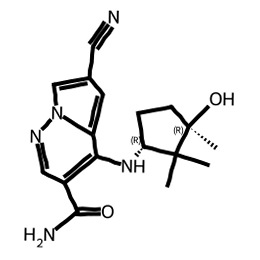 CC1(C)[C@H](Nc2c(C(N)=O)cnn3cc(C#N)cc23)CC[C@@]1(C)O